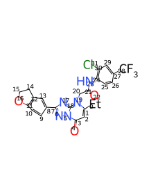 CCc1cc(=O)n2nc(-c3ccc4c(c3)CCO4)nc2n1CC(=O)Nc1ccc(C(F)(F)F)cc1Cl